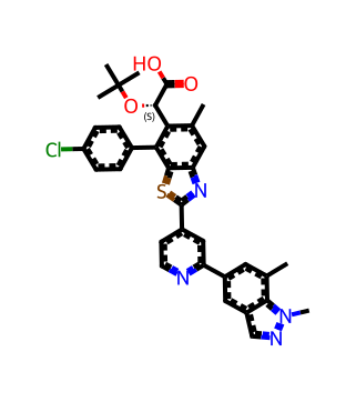 Cc1cc2nc(-c3ccnc(-c4cc(C)c5c(cnn5C)c4)c3)sc2c(-c2ccc(Cl)cc2)c1[C@H](OC(C)(C)C)C(=O)O